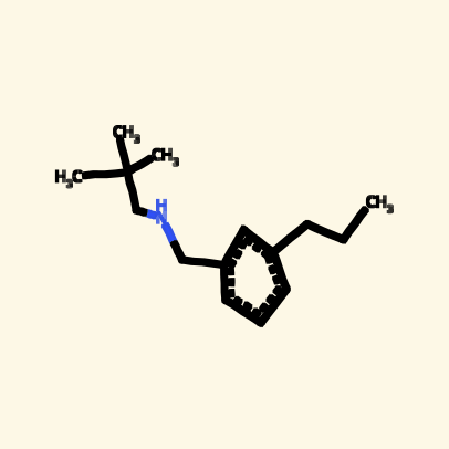 CCCc1cccc(CNCC(C)(C)C)c1